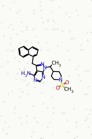 CC(C1CCN(S(C)(=O)=O)CC1)n1nc(Cc2cccc3ccccc23)c2c(N)ncnc21